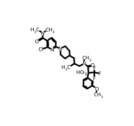 COc1cccc([C@@](O)(C(=O)N(C)CC(C)CC2CCN(c3ccc(C(=O)N(C)C)c(Cl)n3)CC2)C(F)(F)F)c1